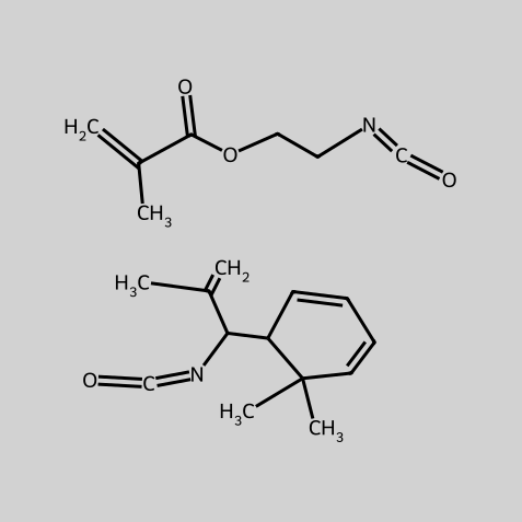 C=C(C)C(=O)OCCN=C=O.C=C(C)C(N=C=O)C1C=CC=CC1(C)C